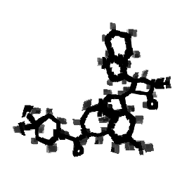 O=C1NCC(c2cnc3ccccn23)=C1c1cn2c3c(cc(F)cc13)CN(C(=O)N1CCC(F)(F)CC1)CC2